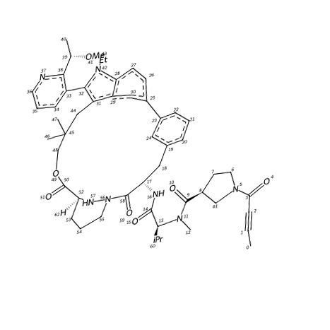 CC#CC(=O)N1CC[C@H](C(=O)N(C)[C@H](C(=O)N[C@H]2Cc3cccc(c3)-c3ccc4c(c3)c(c(-c3cccnc3[C@H](C)OC)n4CC)CC(C)(C)COC(=O)[C@@H]3CCCN(N3)C2=O)C(C)C)C1